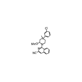 COC1C[N+](C)(c2cccc(Cl)c2)CCN1c1nc(C#N)cc2ccccc12